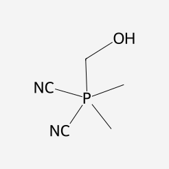 CP(C)(C#N)(C#N)CO